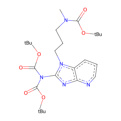 CN(CCCn1c(N(C(=O)OC(C)(C)C)C(=O)OC(C)(C)C)nc2ncccc21)C(=O)OC(C)(C)C